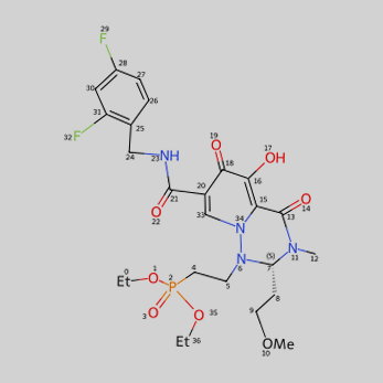 CCOP(=O)(CCN1[C@@H](CCOC)N(C)C(=O)c2c(O)c(=O)c(C(=O)NCc3ccc(F)cc3F)cn21)OCC